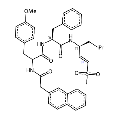 COc1ccc(CC(NC(=O)Cc2ccc3ccccc3c2)C(=O)N[C@@H](Cc2ccccc2)C(=O)N[C@H](/C=C/S(C)(=O)=O)CC(C)C)cc1